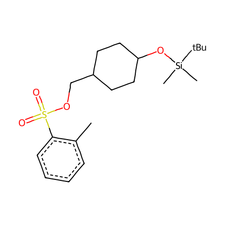 Cc1ccccc1S(=O)(=O)OCC1CCC(O[Si](C)(C)C(C)(C)C)CC1